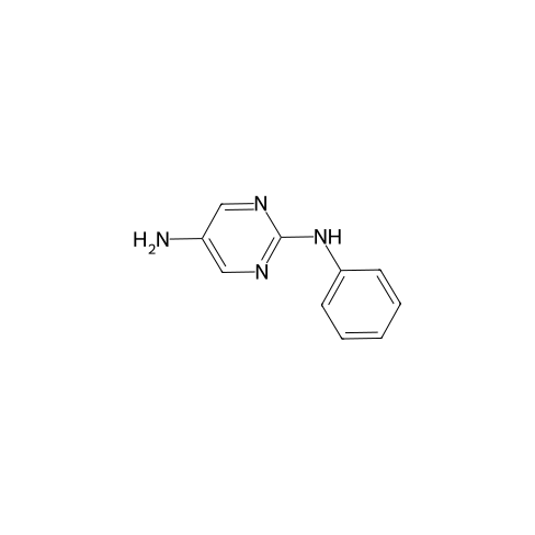 Nc1cnc(Nc2ccccc2)nc1